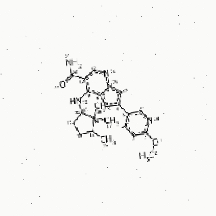 COc1ccc(-c2cc3c(N[C@@H]4CCC(C)C4(C)C)c(C(N)=O)cnn3c2)cn1